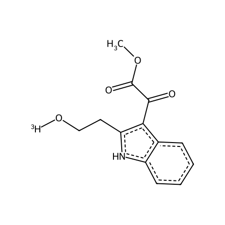 [3H]OCCc1[nH]c2ccccc2c1C(=O)C(=O)OC